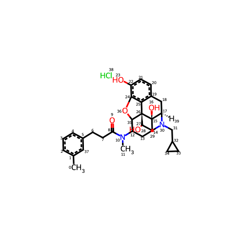 Cc1cccc(CCC(=O)N(C)C2CC[C@@]3(O)[C@H]4Cc5ccc(O)c6c5[C@@]3(C(O)CN4CC3CC3)C2O6)c1.Cl